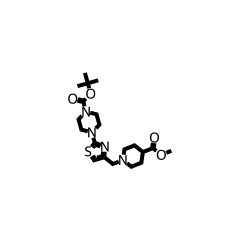 COC(=O)C1CCN(Cc2csc(N3CCN(C(=O)OC(C)(C)C)CC3)n2)CC1